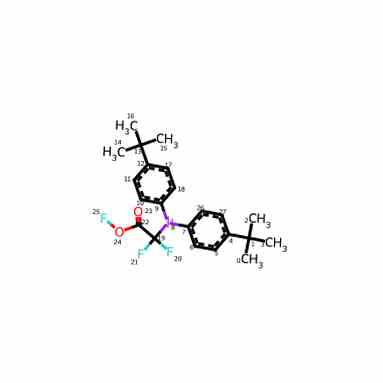 CC(C)(C)c1ccc([I+](c2ccc(C(C)(C)C)cc2)C(F)(F)C(=O)OF)cc1